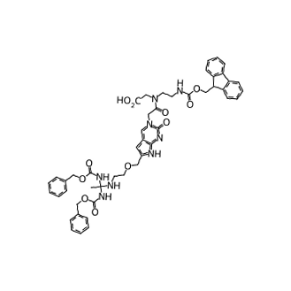 CC(NCCOCc1cc2cn(CC(=O)N(CCNC(=O)OCC3c4ccccc4-c4ccccc43)CC(=O)O)c(=O)nc2[nH]1)(NC(=O)OCc1ccccc1)NC(=O)OCc1ccccc1